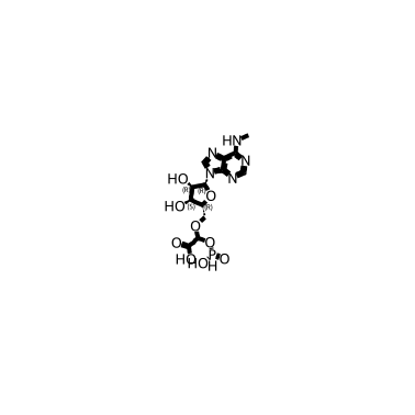 CNc1ncnc2c1ncn2[C@@H]1O[C@H](COC(O[PH](=O)O)C(=O)O)[C@@H](O)[C@H]1O